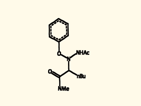 [CH2]NC(=O)C(CCCC)N(NC(C)=O)Oc1ccccc1